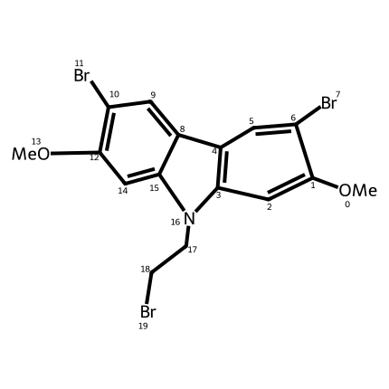 COc1cc2c(cc1Br)c1cc(Br)c(OC)cc1n2CCBr